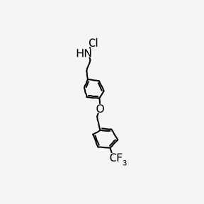 FC(F)(F)c1ccc(COc2ccc(CCNCl)cc2)cc1